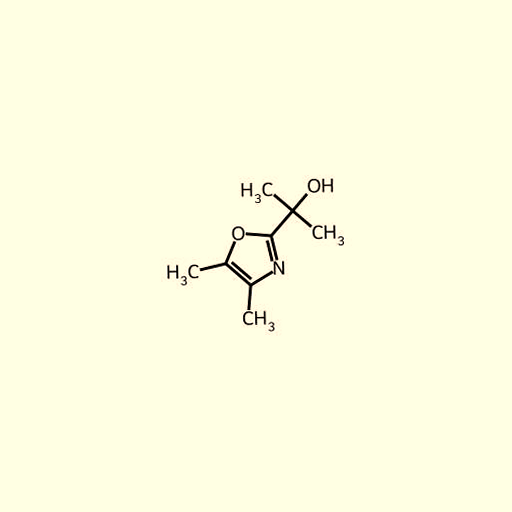 Cc1nc(C(C)(C)O)oc1C